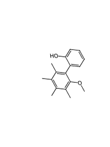 COc1c(C)c(C)c(C)c(C)c1-c1ccccc1O